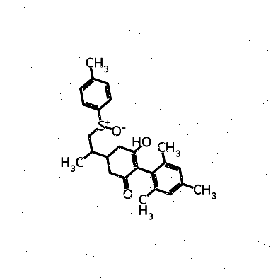 Cc1ccc([S+]([O-])CC(C)C2CC(=O)C(c3c(C)cc(C)cc3C)=C(O)C2)cc1